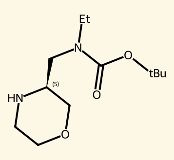 CCN(C[C@H]1COCCN1)C(=O)OC(C)(C)C